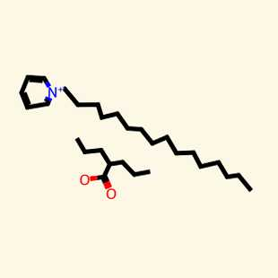 CCCC(CCC)C(=O)[O-].CCCCCCCCCCCCCCCC[n+]1ccccc1